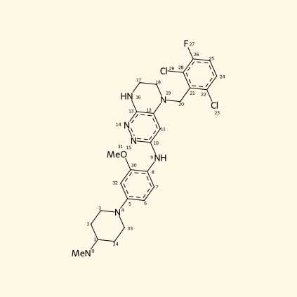 CNC1CCN(c2ccc(Nc3cc4c(nn3)NCCN4Cc3c(Cl)ccc(F)c3Cl)c(OC)c2)CC1